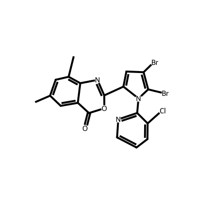 Cc1cc(C)c2nc(-c3cc(Br)c(Br)n3-c3ncccc3Cl)oc(=O)c2c1